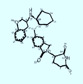 O=C1CCC(N2Cc3cc(C[C@H]4CCCC[C@@H]4NC4COc5ccccc5C4)ccc3C2=O)C(=O)N1